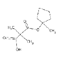 CC1(OC(=O)C(C)(C)C(=O)O)CCCC1